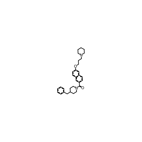 O=C(c1ccc2cc(OCCCN3CCCCC3)ccc2c1)N1CCC(Cc2ccccc2)CC1